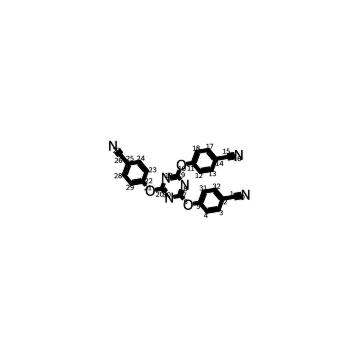 N#Cc1ccc(Oc2nc(Oc3ccc(C#N)cc3)nc(Oc3ccc(C#N)cc3)n2)cc1